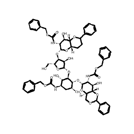 C[C@H]1C[C@@H](NC(=O)OCc2ccccc2)[C@H](O)[C@@H](O[C@@H]2O[C@H](CO)[C@@H](O[C@H]3O[C@H]4CCC(c5ccccc5)O[C@H]4[C@H](O)[C@H]3NC(=O)OCc3ccccc3)[C@H]2O)[C@@H]1O[C@H]1O[C@@H]2COC(c3ccccc3)O[C@H]2[C@H](O)[C@H]1NC(=O)OCc1ccccc1